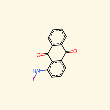 O=C1c2ccccc2C(=O)c2c(NI)cccc21